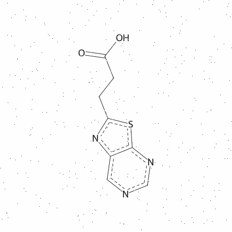 O=C(O)CCc1nc2cncnc2s1